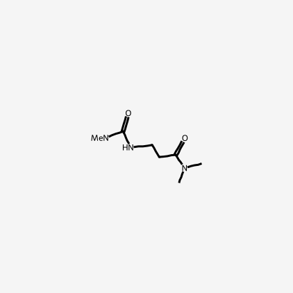 CNC(=O)NCCC(=O)N(C)C